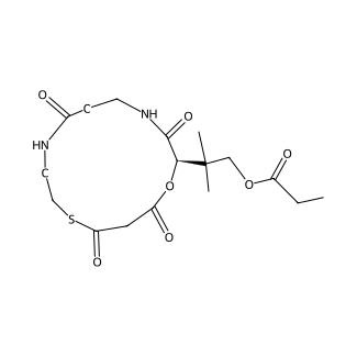 CCC(=O)OCC(C)(C)[C@H]1OC(=O)CC(=O)SCCNC(=O)CCNC1=O